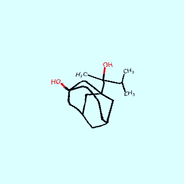 CC(C)C(C)(O)C12CC3CC(CC(O)(C3)C1)C2